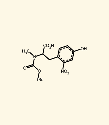 CN(C(=O)OC(C)(C)C)C(Cc1ccc(O)cc1[N+](=O)[O-])C(=O)O